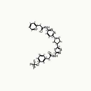 O=C(Cc1ccccn1)Nc1ccc(N2CCC(c3nnc(NC(=O)Cc4cccc(OC(F)(F)F)c4)s3)C2)nn1